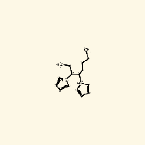 [CH2]CC(C(CCCC)[SH]1C=CC=C1)[SH]1C=CC=C1